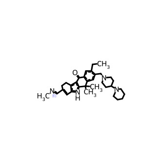 CCc1cc2c(cc1CN1CCC(N3CCCCC3)CC1)C(C)(C)c1[nH]c3c(c1C2=O)CCC(/C=N/C)=C3